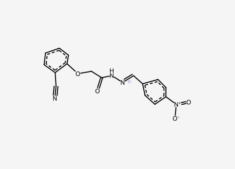 N#Cc1ccccc1OCC(=O)N/N=C/c1ccc([N+](=O)[O-])cc1